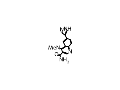 CNc1c(C(N)=O)cnc2ccc(-c3cn[nH]c3)cc12